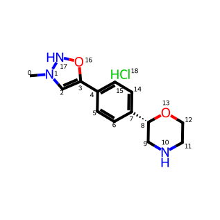 CN1C=C(c2ccc([C@H]3CNCCO3)cc2)ON1.Cl